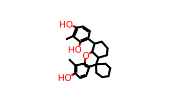 Cc1c(O)ccc(C2CCCC3C2Oc2c(ccc(O)c2C)C32CCCCC2)c1O